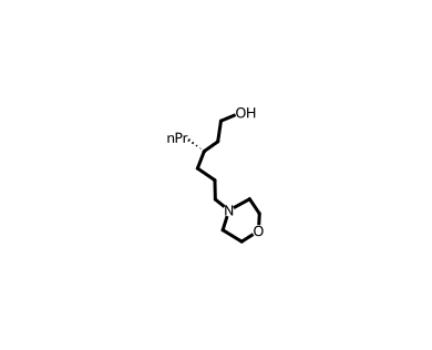 CCC[C@H](CCO)CCCN1CCOCC1